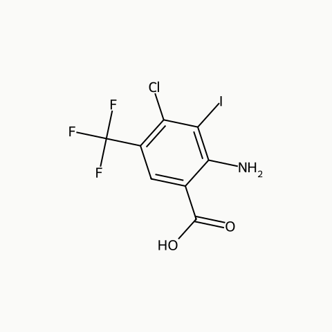 Nc1c(C(=O)O)cc(C(F)(F)F)c(Cl)c1I